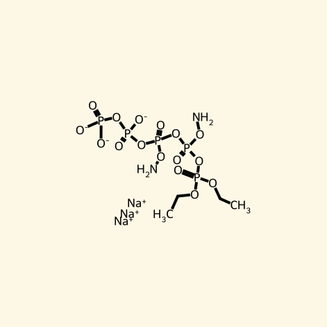 CCOP(=O)(OCC)OP(=O)(ON)OP(=O)(ON)OP(=O)([O-])OP(=O)([O-])[O-].[Na+].[Na+].[Na+]